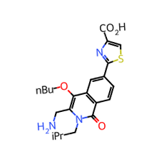 CCCCOc1c(CN)n(CC(C)C)c(=O)c2ccc(-c3nc(C(=O)O)cs3)cc12